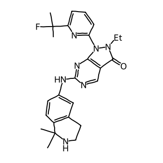 CCn1c(=O)c2cnc(Nc3ccc4c(c3)CCNC4(C)C)nc2n1-c1cccc(C(C)(C)F)n1